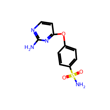 Nc1nccc(Oc2ccc(S(N)(=O)=O)cc2)n1